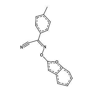 Cc1ccc(C(C#N)=NOc2cc3ccccc3o2)cc1